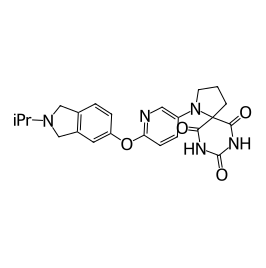 CC(C)N1Cc2ccc(Oc3ccc(N4CCCC45C(=O)NC(=O)NC5=O)cn3)cc2C1